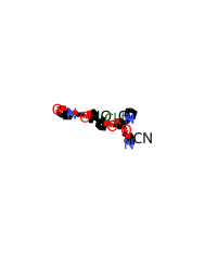 Cc1c(COc2cc(OCc3cncc(C#N)c3)c(CN3CCCC[C@H]3C(=O)O)cc2Cl)cccc1-c1cccc(OCCCN2CCC3(CCOCC3)C2)c1C